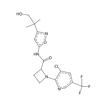 CC(C)(CO)c1cc(NC(=O)C2CCN2c2ncc(C(F)(F)F)cc2Cl)on1